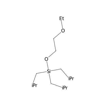 CCOCCO[Si](CC(C)C)(CC(C)C)CC(C)C